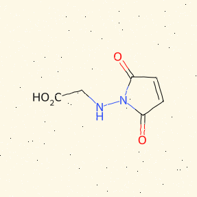 O=C(O)CNN1C(=O)C=CC1=O